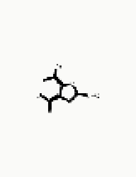 CCC(C)=C1CC(C=O)OC1=C(C)CC